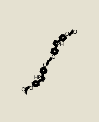 c1cc(-c2ccc(-c3ccc(OCC4CO4)cc3)[pH]2)ccc1OCCCCOc1ccc(-c2ccc(-c3ccc(OCC4CO4)cc3)[pH]2)cc1